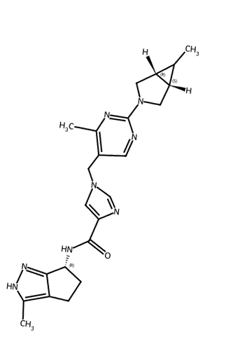 Cc1nc(N2C[C@@H]3C(C)[C@@H]3C2)ncc1Cn1cnc(C(=O)N[C@@H]2CCc3c2n[nH]c3C)c1